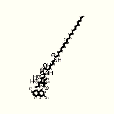 CCC=CCC=CCC=CCC=CCC=CCCCC(=O)NCCCCC(NC(=O)C[C@H](O)C[C@@H](O)CC[C@@H]1C2C(=C[C@H](C)CC2OC(=O)C(C)(C)CC)C=C[C@@H]1C)C(=O)O